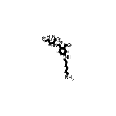 NCCCCCCNc1ccc(C(=O)NC(CCC=O)C(N)=O)c(C=O)c1